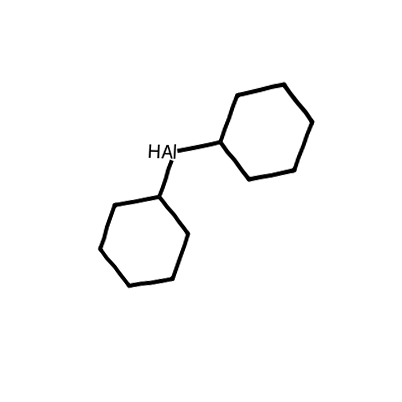 C1CC[CH]([AlH][CH]2CCCCC2)CC1